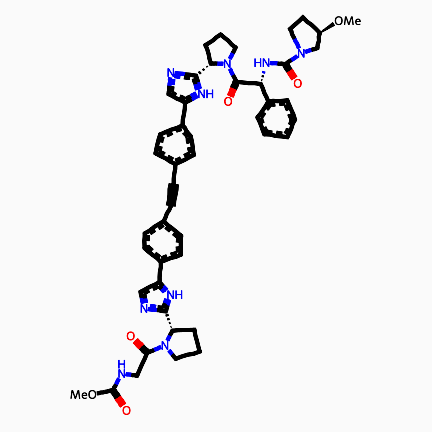 COC(=O)NCC(=O)N1CCC[C@H]1c1ncc(-c2ccc(C#Cc3ccc(-c4cnc([C@@H]5CCCN5C(=O)[C@H](NC(=O)N5CC[C@@H](OC)C5)c5ccccc5)[nH]4)cc3)cc2)[nH]1